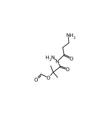 CC(C)(O[C]=O)C(=O)N(N)C(=O)CCN